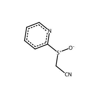 N#CC[S+]([O-])c1ccccn1